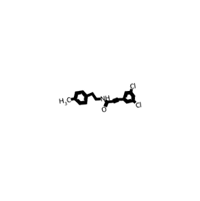 Cc1ccc(CCNC(=O)C#Cc2cc(Cl)cc(Cl)c2)cc1